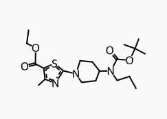 CCCN(C(=O)OC(C)(C)C)C1CCN(c2nc(C)c(C(=O)OCC)s2)CC1